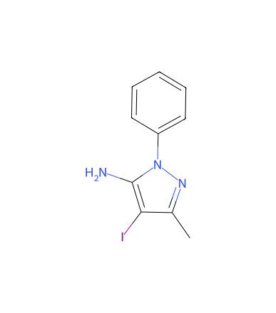 Cc1nn(-c2ccccc2)c(N)c1I